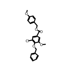 COc1ccc(COC(=O)c2cc(Cl)c(OCc3ccccc3)c(OC)c2)cc1